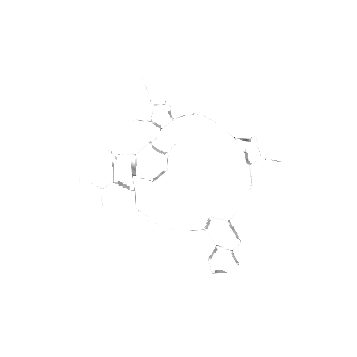 Cc1c2c(nn1C)CSCc1cc(n(C)n1)CSc1cc(c3ccccc3c1)OCC[C@H](C)c1c(C(O)O)n(C)c3c-2c(Cl)ccc13